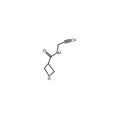 C#CCNC(=O)C1CNC1